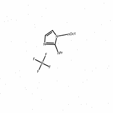 CCCCCCCCn1ccnc1CCC.F[B-](F)(F)F